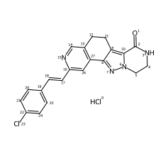 Cl.O=C1NCCn2nc3c(c21)CCc1cnc(C=Cc2ccc(Cl)cc2)cc1-3